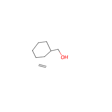 C=C.OCC1CCCCC1